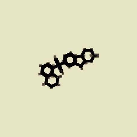 O=S(=O)(c1ccc2c(c1)OC1CNCCC21)c1cccc2c1OCCO2